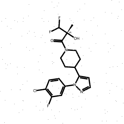 C[C@@](O)(C(=O)N1CCC(c2ccnn2-c2ccc(Cl)c(F)c2)CC1)C(F)F